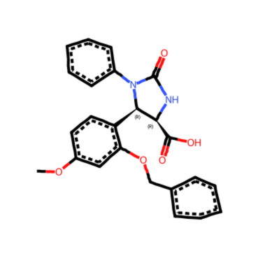 COc1ccc([C@@H]2[C@H](C(=O)O)NC(=O)N2c2ccccc2)c(OCc2ccccc2)c1